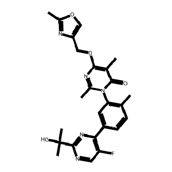 Cc1nc(COc2nc(C)n(-c3cc(-c4nc(C(C)(C)O)ncc4F)ccc3C)c(=O)c2C)co1